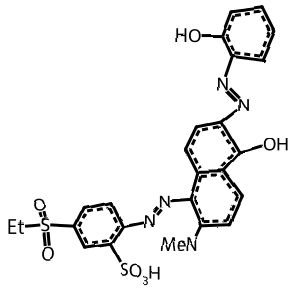 CCS(=O)(=O)c1ccc(/N=N/c2c(NC)ccc3c(O)c(/N=N/c4ccccc4O)ccc23)c(S(=O)(=O)O)c1